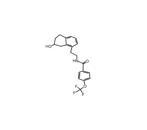 O=C(NCCc1cccc2c1CC(O)CC2)c1ccc(OC(F)(F)F)cc1